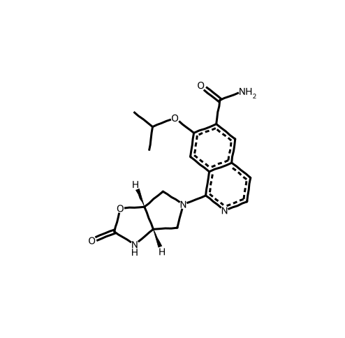 CC(C)Oc1cc2c(N3C[C@@H]4NC(=O)O[C@@H]4C3)nccc2cc1C(N)=O